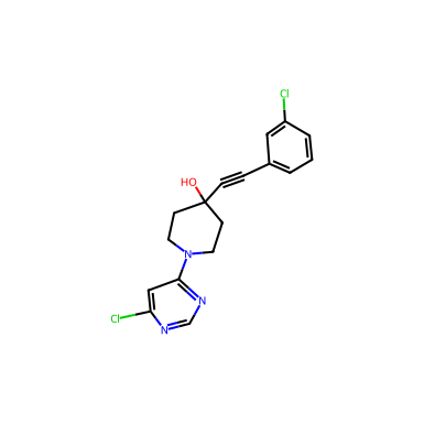 OC1(C#Cc2cccc(Cl)c2)CCN(c2cc(Cl)ncn2)CC1